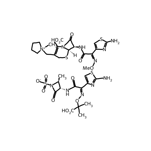 CO/N=C(\C(=O)N[C@@H]1C(=O)N2C(C(=O)O)=C(C[N+]3(C)CCCC3)CS[C@H]12)c1csc(N)n1.C[C@H]1[C@H](NC(=O)/C(=N\OC(C)(C)C(=O)O)c2csc(N)n2)C(=O)N1S(=O)(=O)[O-]